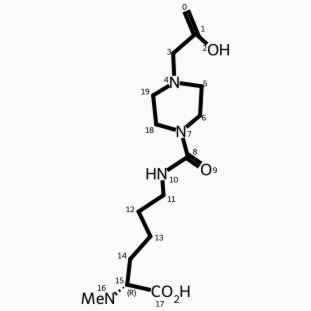 C=C(O)CN1CCN(C(=O)NCCCC[C@@H](NC)C(=O)O)CC1